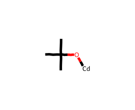 CC(C)(C)[O][Cd]